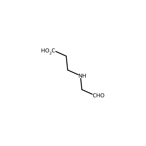 O=CCNCCC(=O)O